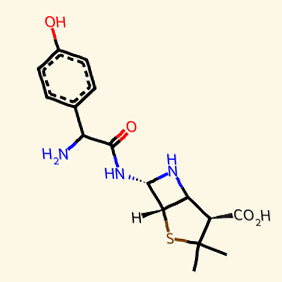 CC1(C)S[C@H]2C(N[C@H]2NC(=O)C(N)c2ccc(O)cc2)[C@H]1C(=O)O